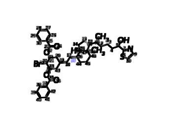 C[C@H](CCCC(O)c1nccs1)[C@H]1CC[C@H]2/C(=C/C=C3C[C@@H](OC(=O)c4ccccc4)C(Br)[C@H](OC(=O)c4ccccc4)C3)CCC[C@]12C